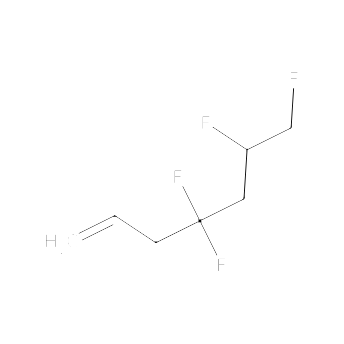 C=CCC(F)(F)CC(F)CF